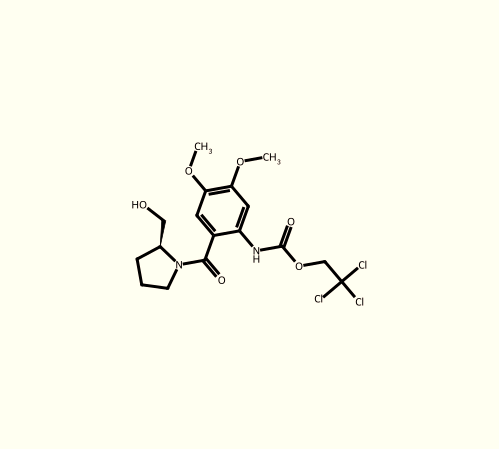 COc1cc(NC(=O)OCC(Cl)(Cl)Cl)c(C(=O)N2CCC[C@H]2CO)cc1OC